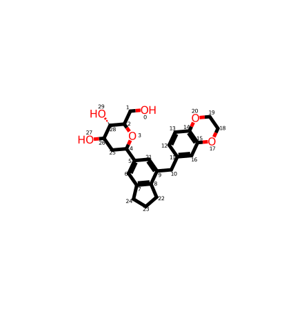 OCC1OC(c2cc3c(c(Cc4ccc5c(c4)OCCO5)c2)CCC3)CC(O)[C@@H]1O